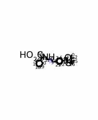 CC1(C)OB(c2ccc(/C=C/CN[C@H](C(=O)O)C3CCCCC3)cc2)OC1(C)C